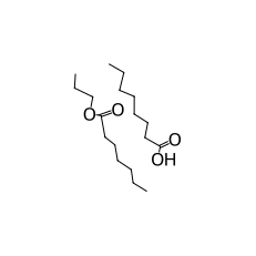 CCCCCCC(=O)OCCC.CCCCCCCC(=O)O